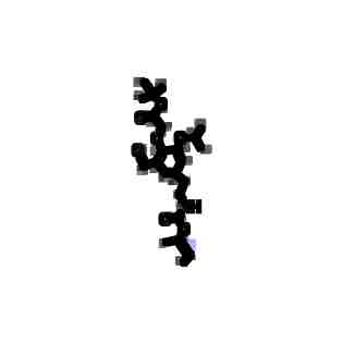 C/C=C(\C)OC(=O)NCCc1cc(C=O)c(OCC(=O)OC(C)(C)C)c(OC(C)C)c1